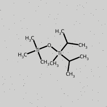 C[CH](C)[Ti]([CH3])([O][Ti]([CH3])([CH3])[CH3])[CH](C)C